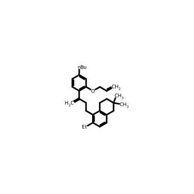 C=CCOc1cc(CCCC)ccc1C(=C)CCc1c(CC)ccc2c1CCC(C)(C)C2